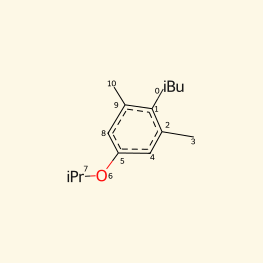 CCC(C)c1c(C)cc(OC(C)C)cc1C